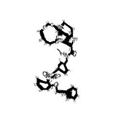 O=C(NCc1ccc(S(=O)(=O)c2ccccc2OCc2ccccc2)cc1)c1cc2c([nH]1)CCNC21CCCCCCCCCC1